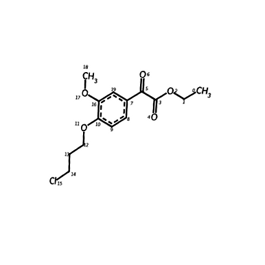 CCOC(=O)C(=O)c1ccc(OCCCCl)c(OC)c1